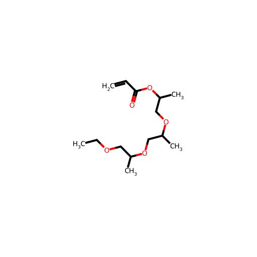 C=CC(=O)OC(C)COC(C)COC(C)COCC